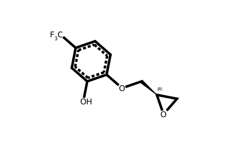 Oc1cc(C(F)(F)F)ccc1OC[C@H]1CO1